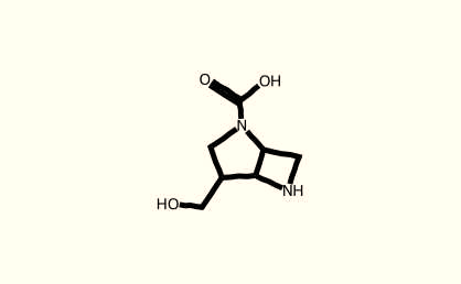 O=C(O)N1CC(CO)C2NCC21